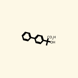 CC(O)(C(=O)O)c1ccc(-c2ccccc2)cc1